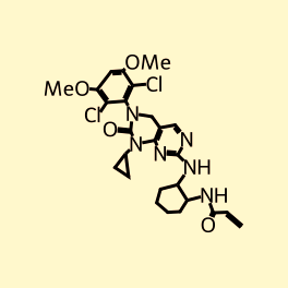 C=CC(=O)NC1CCCCC1Nc1ncc2c(n1)N(C1CC1)C(=O)N(c1c(Cl)c(OC)cc(OC)c1Cl)C2